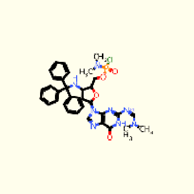 CN(C)/C=N\c1nc2c(ncn2C2CC(NC(c3ccccc3)(c3ccccc3)c3ccccc3)C(COP(=O)(Cl)N(C)C)O2)c(=O)[nH]1